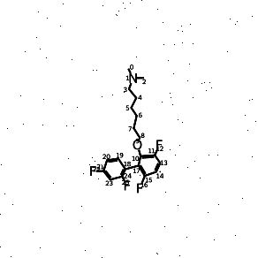 CN(C)CCCCCCOc1c(F)c[c]c(F)c1-c1ccc(F)cc1F